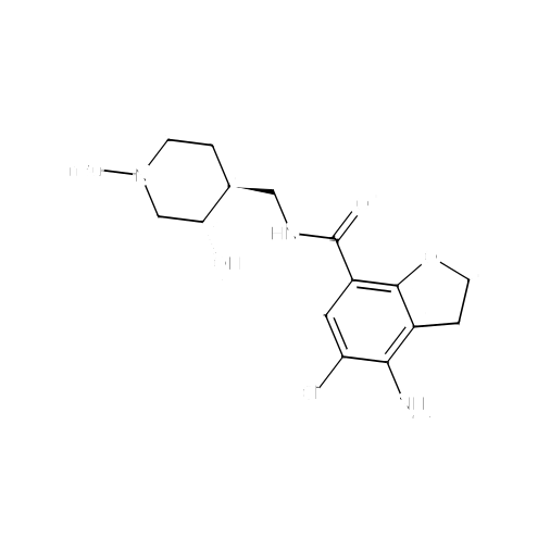 CCCCN1CC[C@@H](CNC(=O)c2cc(Cl)c(N)c3c2OCC3)[C@H](O)C1